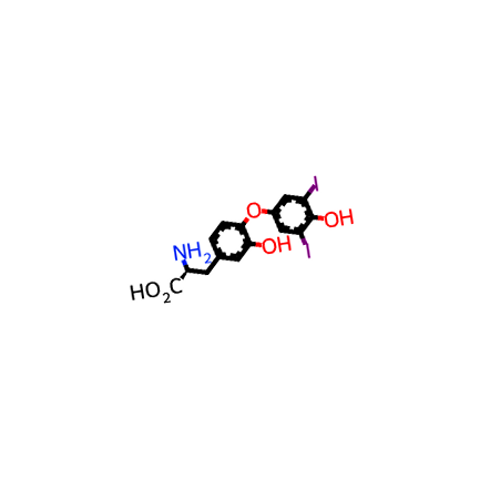 N[C@@H](Cc1ccc(Oc2cc(I)c(O)c(I)c2)c(O)c1)C(=O)O